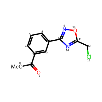 COC(=O)c1cccc(-c2noc(CCl)n2)c1